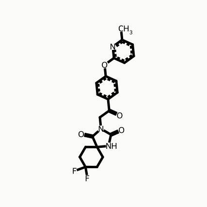 Cc1cccc(Oc2ccc(C(=O)CN3C(=O)NC4(CCC(F)(F)CC4)C3=O)cc2)n1